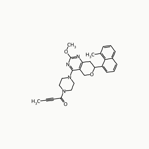 CC#CC(=O)N1CCN(c2nc(OC)nc3c2COC(c2cccc4cccc(C)c24)C3)CC1